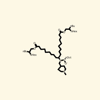 CCCCCCCC[S+]([O-])N(CC1CCN(C)CC1)C(CCCCCCCCC(=O)OCC(CCCC)CCCCCC)CCCCCCCCC(=O)OCC(CCCC)CCCCCC